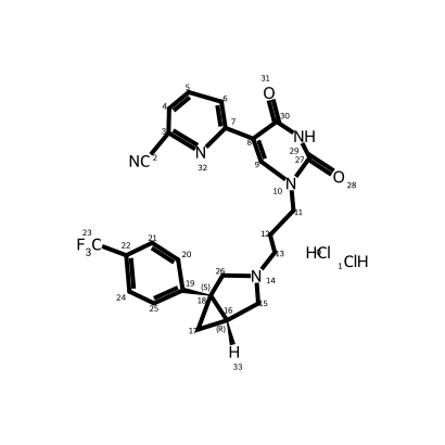 Cl.Cl.N#Cc1cccc(-c2cn(CCCN3C[C@@H]4C[C@]4(c4ccc(C(F)(F)F)cc4)C3)c(=O)[nH]c2=O)n1